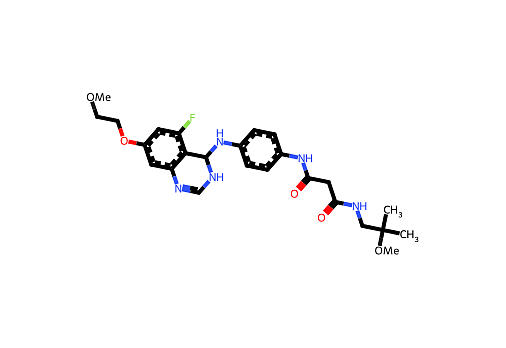 COCCOc1cc(F)c2c(c1)N=CNC2Nc1ccc(NC(=O)CC(=O)NCC(C)(C)OC)cc1